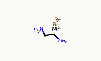 NCCN.[Br-].[Br-].[Ni+2]